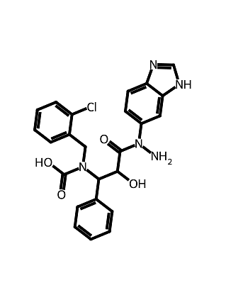 NN(C(=O)C(O)C(c1ccccc1)N(Cc1ccccc1Cl)C(=O)O)c1ccc2nc[nH]c2c1